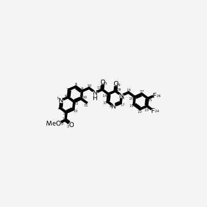 COC(=O)c1cnc2ccc(CNC(=O)c3cncn(Cc4ccc(F)c(F)c4)c3=O)c(C)c2c1